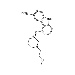 COCCN1CCC[C@@H](Oc2ccnc3[nH]c4cnc(C#N)cc4c23)C1